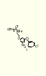 CC(C)(C)OC(=O)NCCOc1cc(Oc2ccc(Cl)cc2)cc([N+](=O)[O-])c1